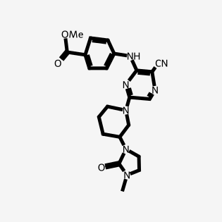 COC(=O)c1ccc(Nc2nc(N3CCCC(N4CCN(C)C4=O)C3)cnc2C#N)cc1